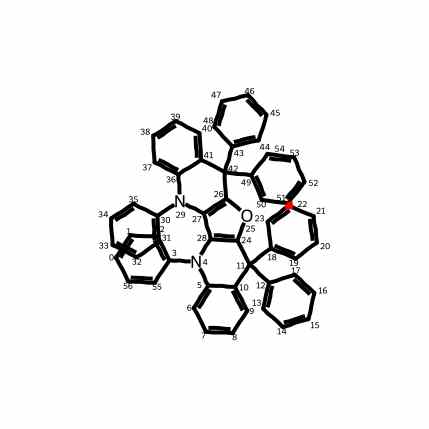 c1ccc(N2c3ccccc3C(c3ccccc3)(c3ccccc3)c3oc4c(c32)N(c2ccccc2)c2ccccc2C4(c2ccccc2)c2ccccc2)cc1